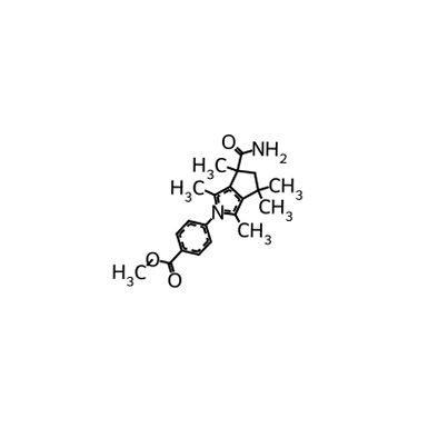 COC(=O)c1ccc(-n2c(C)c3c(c2C)C(C)(C(N)=O)CC3(C)C)cc1